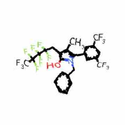 Cc1c(CC(F)(F)C(F)(F)C(F)(F)C(F)(F)F)c(O)n(Cc2ccccc2)c1-c1cc(C(F)(F)F)cc(C(F)(F)F)c1